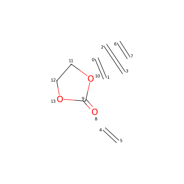 C=C.C=C.C=C.C=C.O=C1OCCO1